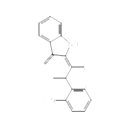 C=c1/c(=C(/C)C(C)c2ccccc2N)[nH]c2ccccc12